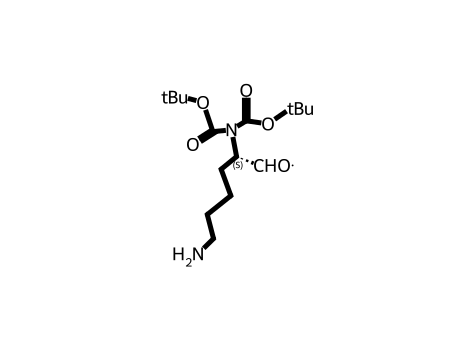 CC(C)(C)OC(=O)N(C(=O)OC(C)(C)C)[C@H]([C]=O)CCCCN